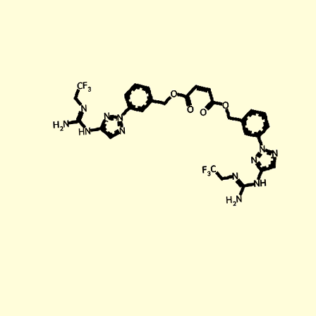 NC(=NCC(F)(F)F)Nc1cnn(-c2cccc(COC(=O)/C=C\C(=O)OCc3cccc(-n4ncc(NC(N)=NCC(F)(F)F)n4)c3)c2)n1